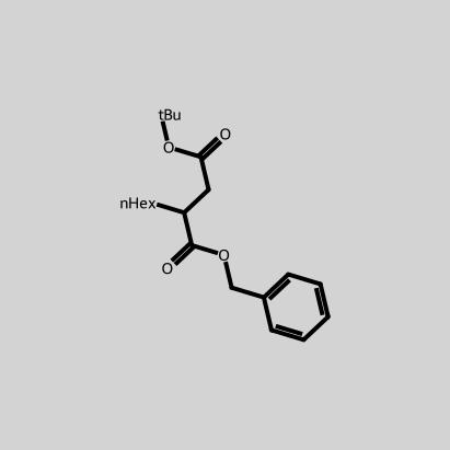 CCCCCCC(CC(=O)OC(C)(C)C)C(=O)OCc1ccccc1